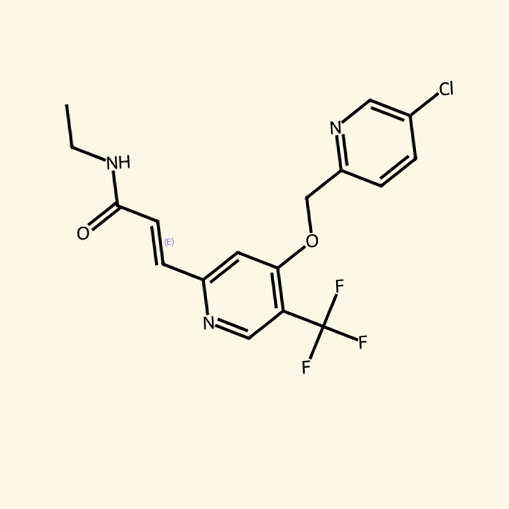 CCNC(=O)/C=C/c1cc(OCc2ccc(Cl)cn2)c(C(F)(F)F)cn1